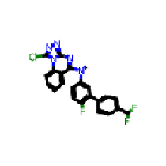 CN(c1ccc(F)c(-c2ccc(C(F)F)cc2)c1)c1nc2nnc(Cl)n2c2ccccc12